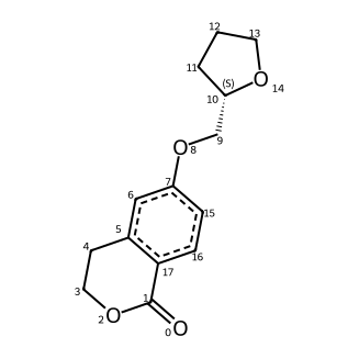 O=C1OCCc2cc(OC[C@@H]3CCCO3)ccc21